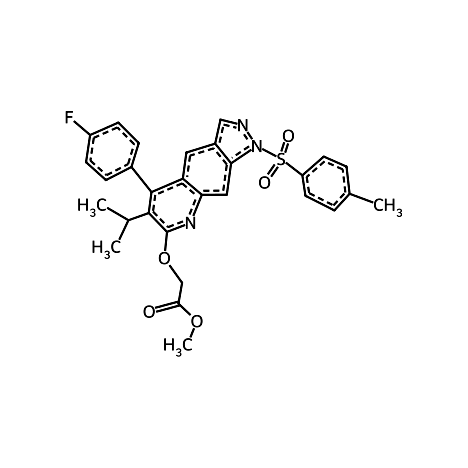 COC(=O)COc1nc2cc3c(cnn3S(=O)(=O)c3ccc(C)cc3)cc2c(-c2ccc(F)cc2)c1C(C)C